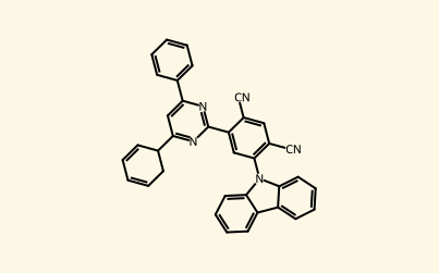 N#Cc1cc(C#N)c(-n2c3ccccc3c3ccccc32)cc1-c1nc(-c2ccccc2)cc(C2C=CC=CC2)n1